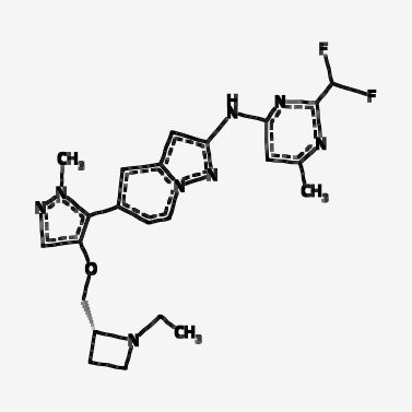 CCN1CC[C@@H]1COc1cnn(C)c1-c1ccn2nc(Nc3cc(C)nc(C(F)F)n3)cc2c1